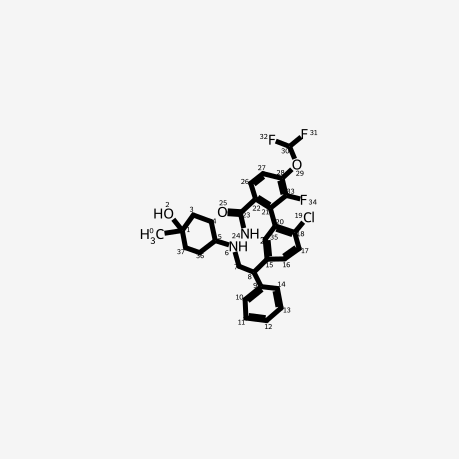 CC1(O)CCC(NCC(c2ccccc2)c2ccc(Cl)c(-c3c(C(N)=O)ccc(OC(F)F)c3F)c2)CC1